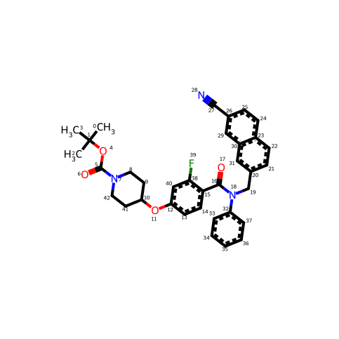 CC(C)(C)OC(=O)N1CCC(Oc2ccc(C(=O)N(Cc3ccc4ccc(C#N)cc4c3)c3ccccc3)c(F)c2)CC1